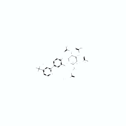 CC(=O)OC[C@H]1O[C@H](Oc2ccc(-c3cc(C(F)(F)F)ccn3)cc2C)[C@@H](OC(C)=O)[C@@H](OC(C)=O)[C@@H]1OC(C)=O